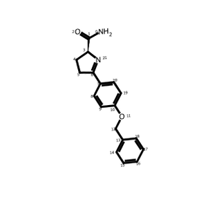 NC(=O)[C@@H]1CCC(c2ccc(OCc3ccccc3)cc2)=N1